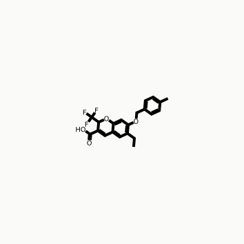 CCc1cc2c(cc1OCc1ccc(C)cc1)OC(C(F)(F)F)C(C(=O)O)=C2